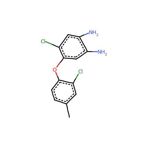 Cc1ccc(Oc2cc(N)c(N)cc2Cl)c(Cl)c1